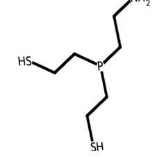 NCCP(CCS)CCS